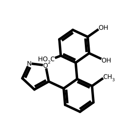 Cc1cccc(-c2ccno2)c1-c1c(C(=O)O)ccc(O)c1O